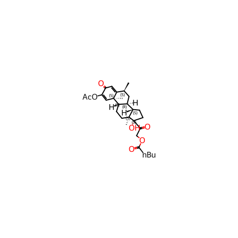 CCCCC(=O)OCC(=O)[C@]1(O)CC[C@H]2[C@@H]3C[C@H](C)C4=CC(=O)C(OC(C)=O)=C[C@]4(C)[C@H]3CC[C@@]21C